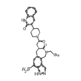 Bc1cc2c(c3cn[nH]c13)CN(CC(C)(C)C)C(=O)[C@H](CC(=O)N1CCC(c3cc4ccccc4[nH]c3=O)CC1)C2